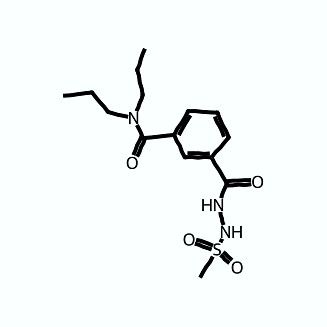 CCCN(CCC)C(=O)c1cccc(C(=O)NNS(C)(=O)=O)c1